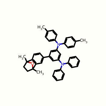 Cc1ccc(N(c2ccc(C)cc2)c2cc(-c3ccc4c(c3)C3(C)CCC4(C)O3)cc(N(c3ccccc3)c3ccccc3)c2)cc1